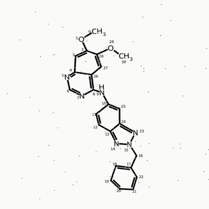 COc1cc2ncnc(Nc3ccc4nn(Cc5ccccc5)nc4c3)c2cc1OC